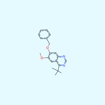 COc1cc2c(C(C)(C)C)ncnc2cc1OCc1ccccc1